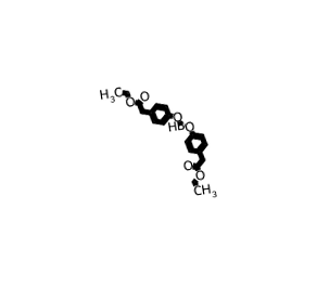 CCOC(=O)Cc1ccc(OBOc2ccc(CC(=O)OCC)cc2)cc1